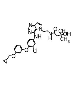 CC(C)(O)CC(=O)NCCn1ccc2ncnc(Nc3ccc(Oc4cccc(OCC5CC5)c4)c(Cl)c3)c21